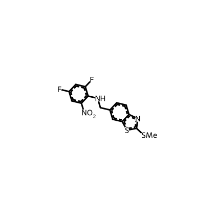 CSc1nc2ccc(CNc3c(F)cc(F)cc3[N+](=O)[O-])cc2s1